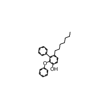 CCCCCCCc1ccc(O)c(Oc2ccccc2)c1-c1ccccc1